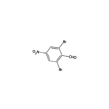 O=Cc1c(Br)cc([N+](=O)[O-])cc1Br